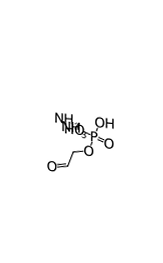 N.N.O=CCOP(=O)(O)O